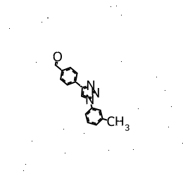 Cc1cccc(-n2cc(-c3ccc(C=O)cc3)nn2)c1